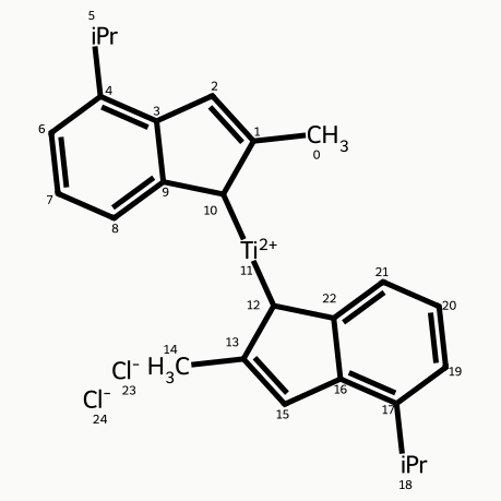 CC1=Cc2c(C(C)C)cccc2[CH]1[Ti+2][CH]1C(C)=Cc2c(C(C)C)cccc21.[Cl-].[Cl-]